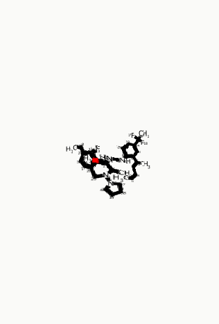 C=C(C(NNC1=C(/C(C)=C/C=C\C)C=C(C(C)(F)F)CC1)=C(C)C)N(Cc1ccc(CC)c(F)c1F)N1CCCC1